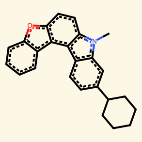 Cn1c2cc(C3CCCCC3)ccc2c2c3c(ccc21)oc1ccccc13